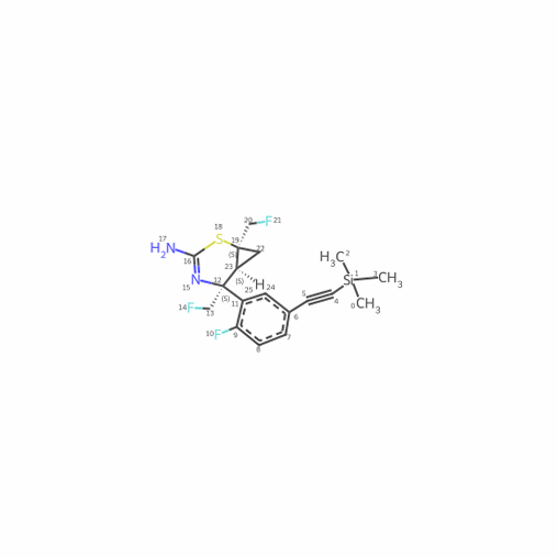 C[Si](C)(C)C#Cc1ccc(F)c([C@@]2(CF)N=C(N)S[C@@]3(CF)C[C@H]32)c1